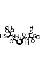 COC(=O)C(CS)NC(=O)c1cccc(C(=O)NC(CS)C(=O)OC)n1